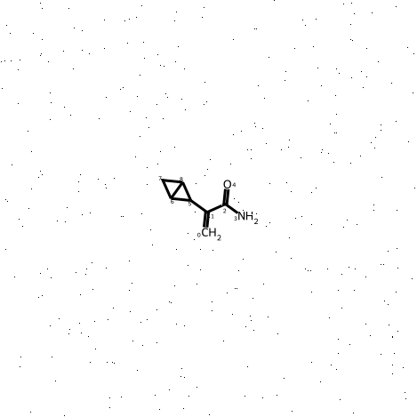 C=C(C(N)=O)C1C2CC21